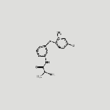 Cc1cc(Cl)ccc1Sc1cccc(NC(=O)C(C)N)c1